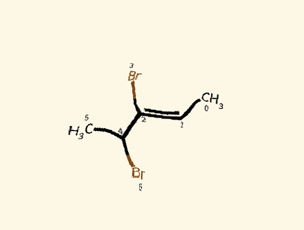 CC=C(Br)C(C)Br